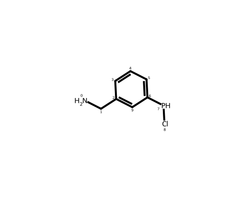 NCc1cccc(PCl)c1